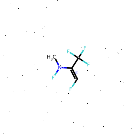 CN(F)/C(=C\F)C(F)(F)F